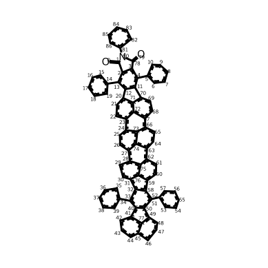 O=C1c2c(c(-c3ccccc3)c3c(c2-c2ccccc2)-c2ccc4c5ccc6c7ccc8c9c(-c%10ccccc%10)c%10c%11cccc%12cccc(c%10c(-c%10ccccc%10)c9c9ccc(c%10ccc(c%13ccc-3c2c4%13)c5c6%10)c7c89)c%12%11)C(=O)N1c1ccccc1